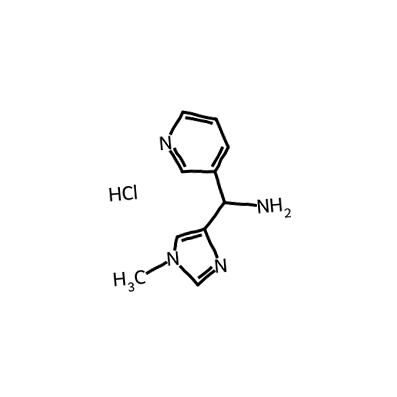 Cl.Cn1cnc(C(N)c2cccnc2)c1